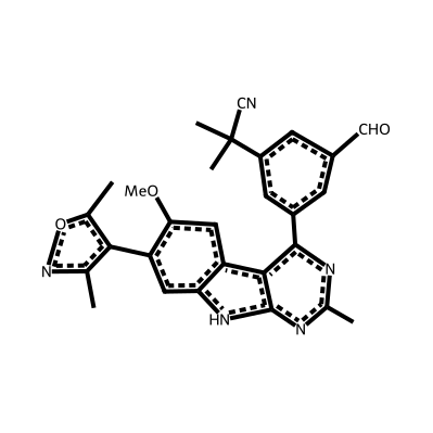 COc1cc2c(cc1-c1c(C)noc1C)[nH]c1nc(C)nc(-c3cc(C=O)cc(C(C)(C)C#N)c3)c12